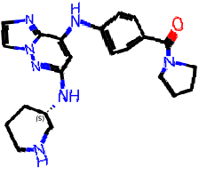 O=C(c1ccc(Nc2cc(N[C@H]3CCCNC3)nn3ccnc23)cc1)N1CCCC1